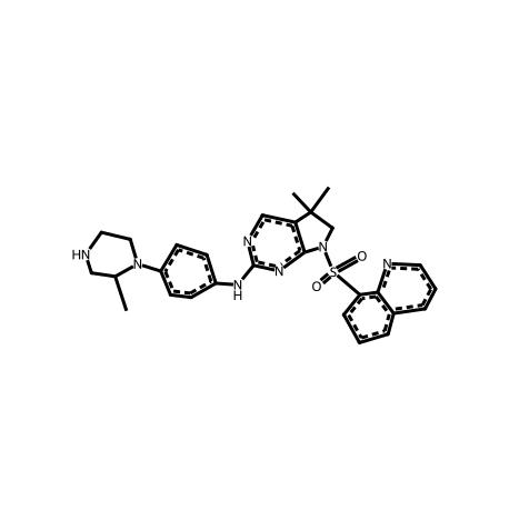 CC1CNCCN1c1ccc(Nc2ncc3c(n2)N(S(=O)(=O)c2cccc4cccnc24)CC3(C)C)cc1